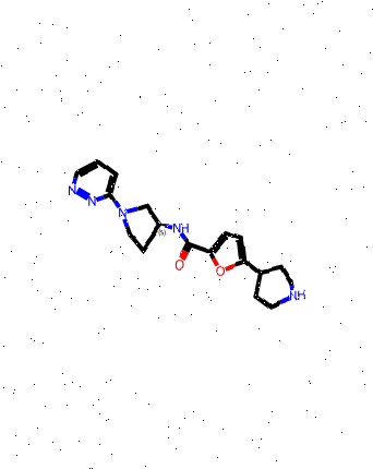 O=C(N[C@H]1CCN(c2cccnn2)C1)c1ccc(C2CCNCC2)o1